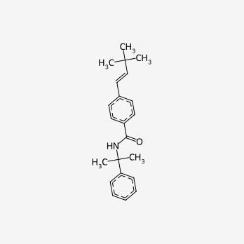 CC(C)(C)/C=C/c1ccc(C(=O)NC(C)(C)c2ccccc2)cc1